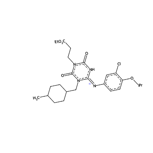 CCOC(=O)CCn1c(=O)[nH]/c(=N\c2ccc(OC(C)C)c(Cl)c2)n(CC2CCC(C)CC2)c1=O